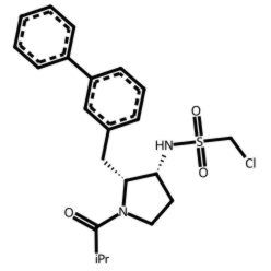 CC(C)C(=O)N1CC[C@@H](NS(=O)(=O)CCl)[C@H]1Cc1cccc(-c2ccccc2)c1